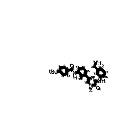 Cc1c(NC(=O)c2ccc(C(C)(C)C)cc2)cccc1-c1cn(C)c(=O)c(Nc2cccc(CN)c2)n1